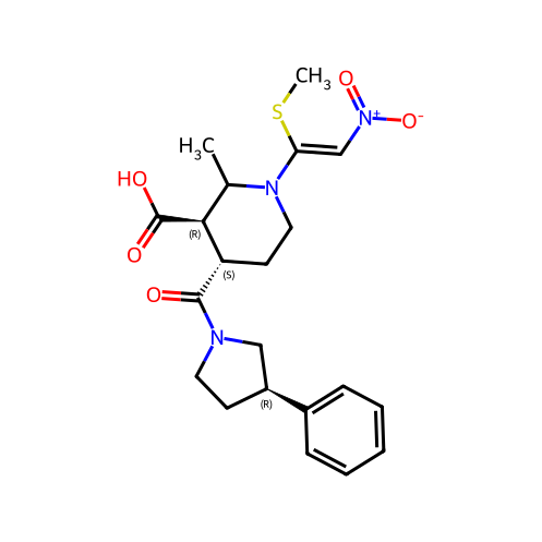 CSC(=C[N+](=O)[O-])N1CC[C@H](C(=O)N2CC[C@H](c3ccccc3)C2)[C@@H](C(=O)O)C1C